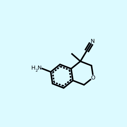 CC1(C#N)COCc2ccc(N)cc21